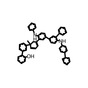 CC1(c2cccc(-c3ccccc3O)c2)C=CC=C(c2cc(-c3ccc(Nc4ccc(-c5ccccc5)cc4)c(-c4ccccc4)c3)ccc2Nc2ccccc2)C1